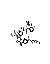 C=CC(=O)Nc1ccc(C2(C(=O)Nc3nn(C)c4c3CN(C(=O)N[C@H](CN(C)C)c3ccccc3)C4(C)C)CC2)cc1